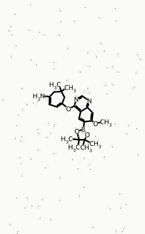 COc1cc2ncnc(OC3=CC=C(N)CC(C)(C)C3)c2cc1B1OC(C)(C)C(C)(C)O1